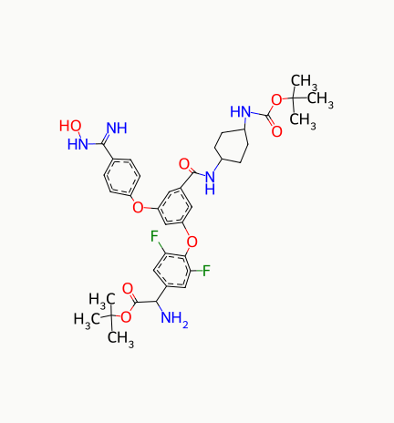 CC(C)(C)OC(=O)NC1CCC(NC(=O)c2cc(Oc3ccc(C(=N)NO)cc3)cc(Oc3c(F)cc(C(N)C(=O)OC(C)(C)C)cc3F)c2)CC1